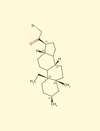 CC[C@]12CC[C@H](C)C[C@@]1(C)CC[C@H]1C3CC[C@H](C(=O)CBr)[C@H]3CCC12